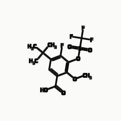 COc1c(C(=O)O)cc(C(C)(C)C)c(F)c1OS(=O)(=O)C(F)(F)F